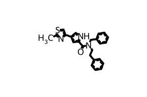 Cc1nc(-c2c[nH]c(C(=O)N(CCc3ccccc3)Cc3ccccc3)c2)cs1